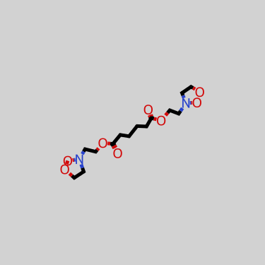 O=C(CCCCC(=O)OCCN1CCOO1)OCCN1CCOO1